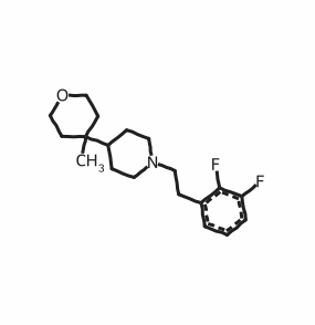 CC1(C2CCN(CCc3cccc(F)c3F)CC2)CCOCC1